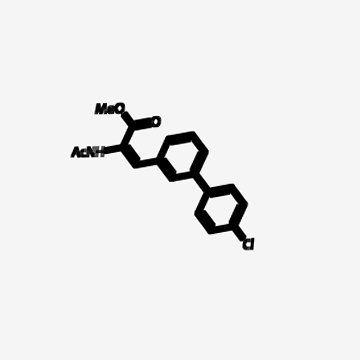 COC(=O)C(=Cc1cccc(-c2ccc(Cl)cc2)c1)NC(C)=O